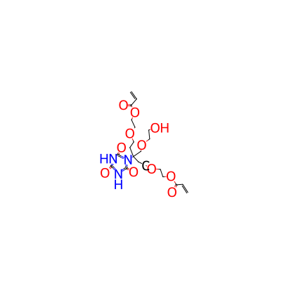 C=CC(=O)OCCOCCC(CCOCCOC(=O)C=C)(COCCO)n1c(=O)[nH]c(=O)[nH]c1=O